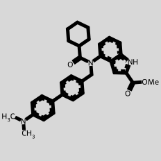 COC(=O)c1cc2c(N(Cc3ccc(-c4ccc(N(C)C)cc4)cc3)C(=O)C3CCCCC3)cccc2[nH]1